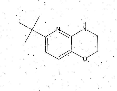 Cc1cc(C(C)(C)C)nc2c1OCCN2